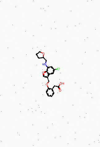 O=C(O)Cc1ccccc1OCc1coc2c(NCC3CCCO3)cc(Cl)cc12